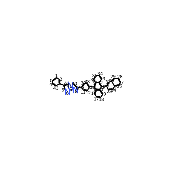 c1ccc(-c2cnc3nc(-c4ccc(-c5c6ccccc6c(-c6ccc7ccccc7c6)c6ccccc56)cc4)cn3c2)cc1